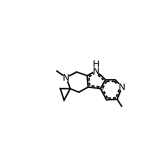 Cc1cc2c3c([nH]c2cn1)CN(C)C1(CC1)C3